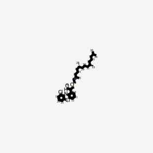 C/C(=C\COCC(C=O)c1ccccc1Nc1c(Cl)cccc1Cl)CCC[C@H](C)CCC[C@H](C)CCCC(C)C